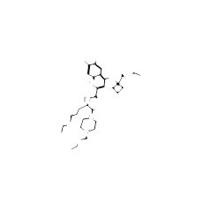 CCOC(=O)CCC(NC(=O)c1cc(OC2(C(=O)OCC)CCC2)c2cc(Cl)c(C)cc2n1)C(=O)N1CCN(C(=O)OCC)CC1